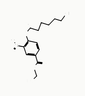 CCCCCC[C@@H](C)Oc1ccc(C(=O)OCC)cc1[N+](=O)[O-]